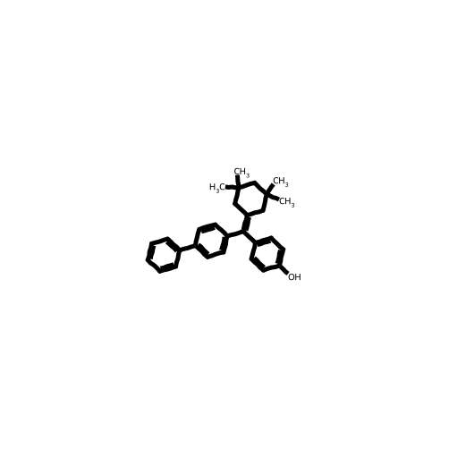 CC1(C)CC(=C(c2ccc(O)cc2)c2ccc(-c3ccccc3)cc2)CC(C)(C)C1